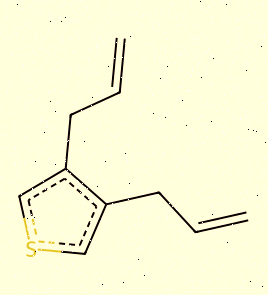 C=CCc1cscc1CC=C